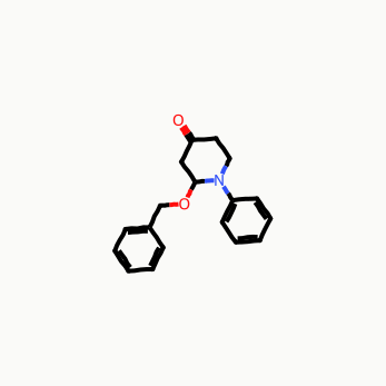 O=C1CCN(c2ccccc2)C(OCc2ccccc2)C1